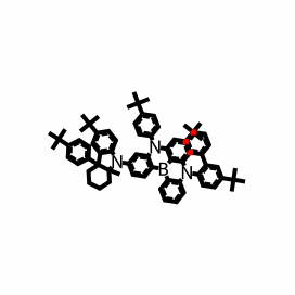 CC(C)(C)c1ccc(N2c3cc(N4c5ccc(C(C)(C)C)cc5C5(c6ccc(C(C)(C)C)cc6)CCCCC45C)ccc3B3c4ccccc4N(c4ccc(C(C)(C)C)cc4-c4ccccc4)c4cc(C(C)(C)C)cc2c43)cc1